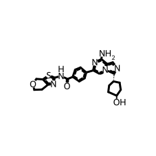 Nc1nc(-c2ccc(C(=O)Nc3nc4c(s3)COCC4)cc2)cn2c1cnc2[C@H]1CC[C@H](O)CC1